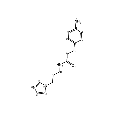 Nc1ccc(CCC(=O)NCCCn2ccnc2)cc1